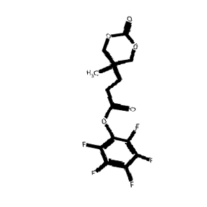 CC1(CCC(=O)Oc2c(F)c(F)c(F)c(F)c2F)COC(=O)OC1